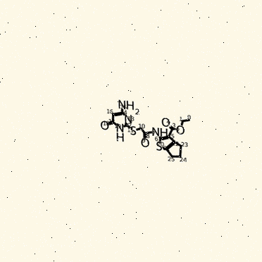 CCOC(=O)c1c(NC(=O)CSc2nc(N)cc(=O)[nH]2)sc2c1CCC2